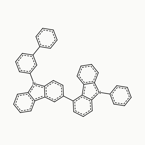 c1ccc(-c2cccc(-n3c4ccccc4c4cc(-c5cccc6c5c5ccccc5n6-c5ccccc5)ccc43)c2)cc1